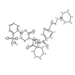 CS(=O)(=O)c1ccccc1N1CCC(NC(=O)C2(NC(=O)c3ccc(OCCN4CCCCC4)cc3)CCCCC2)C(=O)C1